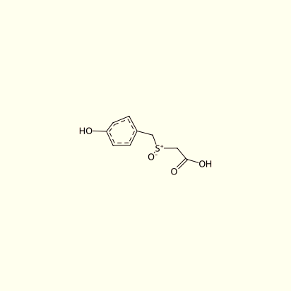 O=C(O)C[S+]([O-])Cc1ccc(O)cc1